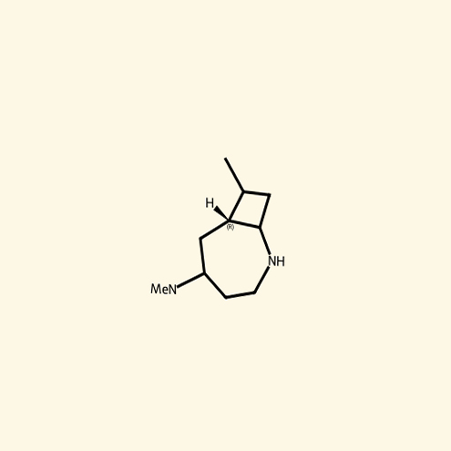 CNC1CCNC2CC(C)[C@H]2C1